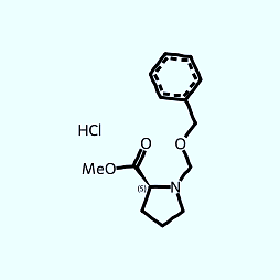 COC(=O)[C@@H]1CCCN1COCc1ccccc1.Cl